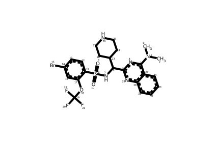 CN(C)c1nc(C(NS(=O)(=O)c2ccc(Br)cc2OC(F)(F)F)C2CCNCC2)nc2ccccc12